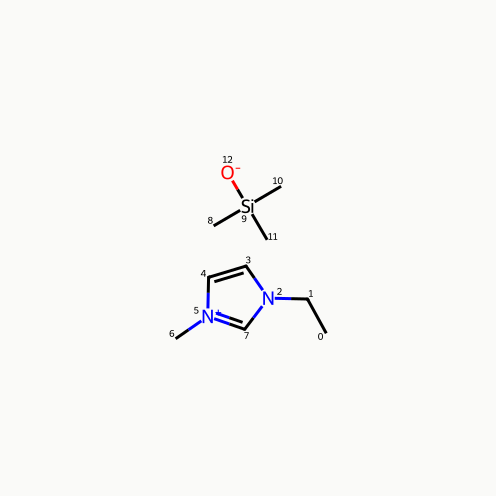 CCn1cc[n+](C)c1.C[Si](C)(C)[O-]